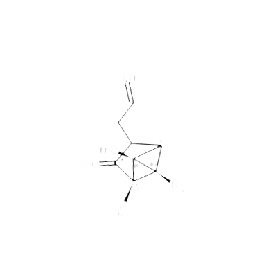 C=CCC1C(=O)[C@H]2[C@H]3C1[C@]32C